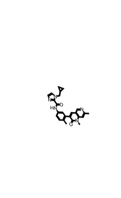 Cc1cc2c(cn1)cc(-c1cc(NC(=O)c3nccn3CC3CC3)ccc1C)c(=O)n2C